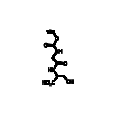 CC(C)(C)OC(=O)NCC(=O)NC(CO)C(=O)O